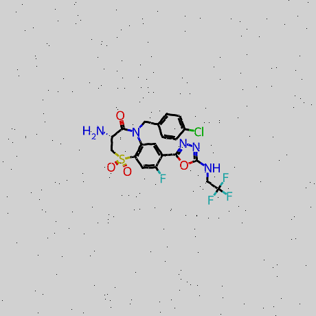 N[C@H]1CS(=O)(=O)c2cc(F)c(-c3nnc(NCC(F)(F)F)o3)cc2N(Cc2ccc(Cl)cc2)C1=O